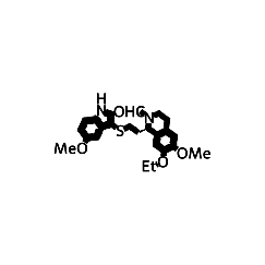 CCOc1cc2c(cc1OC)CCN(C=O)[C@H]2CCSc1c[nH]c2ccc(OC)cc12